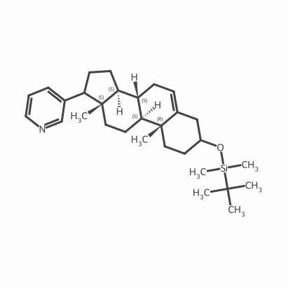 CC(C)(C)[Si](C)(C)OC1CC[C@@]2(C)C(=CC[C@@H]3[C@@H]2CC[C@]2(C)C(c4cccnc4)CC[C@@H]32)C1